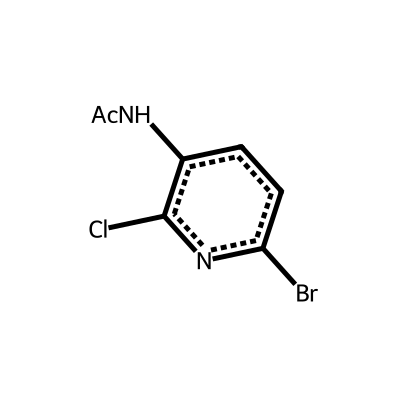 CC(=O)Nc1ccc(Br)nc1Cl